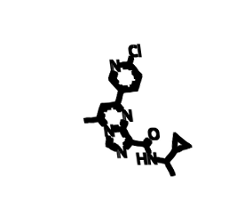 Cc1cc(-c2ccc(Cl)nc2)nc2c(C(=O)NC(C)C3CC3)ncn12